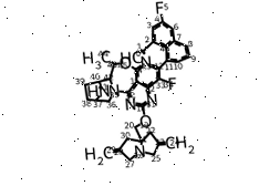 C#Cc1cc(F)cc2cccc(-c3nc4c5c(nc(OCC67CC(=C)CN6CC(=C)C7)nc5c3F)N3CC5CCC(N5)C3C(C)O4)c12